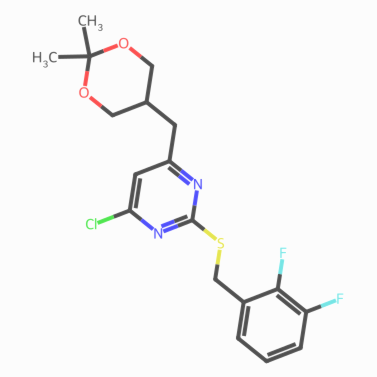 CC1(C)OCC(Cc2cc(Cl)nc(SCc3cccc(F)c3F)n2)CO1